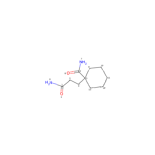 NC(=O)C[CH]C1(C(N)=O)CCCCC1